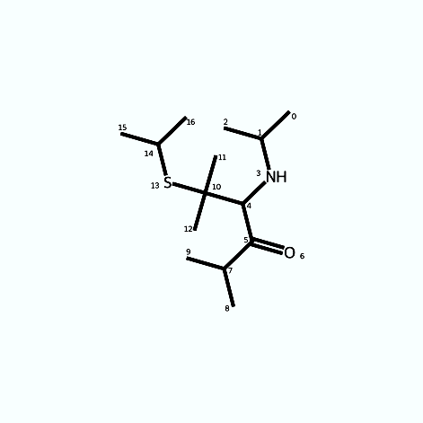 CC(C)NC(C(=O)C(C)C)C(C)(C)SC(C)C